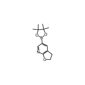 CC1(C)OB(c2cnc3c(c2)CCO3)OC1(C)C